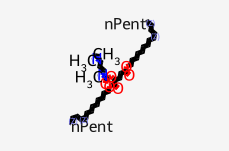 CCCCC/C=C\C/C=C\CCCCCCCCOC(=O)CCC(OC(=O)N(C)CCCN(C)C)C(=O)OCCCCCCCC/C=C\C/C=C\CCCCC